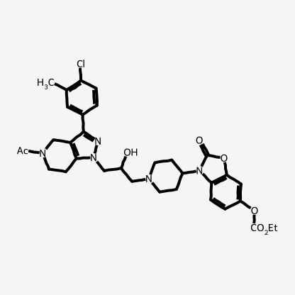 CCOC(=O)Oc1ccc2c(c1)oc(=O)n2C1CCN(CC(O)Cn2nc(-c3ccc(Cl)c(C)c3)c3c2CCN(C(C)=O)C3)CC1